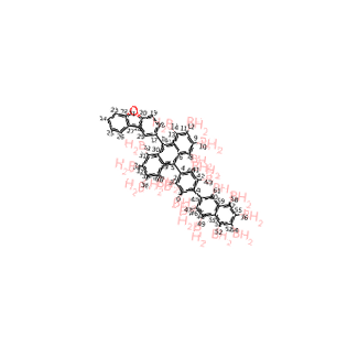 Bc1c(B)c(-c2c3c(B)c(B)c(B)c(B)c3c(-c3ccc4oc5ccccc5c4c3)c3c(B)c(B)c(B)c(B)c23)c(B)c(B)c1-c1c(B)c(B)c2c(B)c(B)c(B)c(B)c2c1B